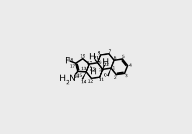 C[C@]12C=CC=CC1CC[C@@H]1[C@H]2CC[C@]2(C)C(N)=C(F)C[C@@H]12